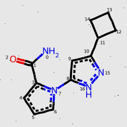 NC(=O)c1cccn1-c1cc(C2CCC2)n[nH]1